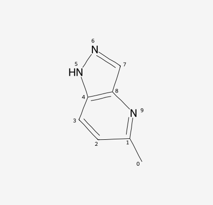 Cc1ccc2[nH]ncc2n1